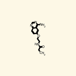 CCC(=O)NCCOc1ccc2ncnc(N)c2c1